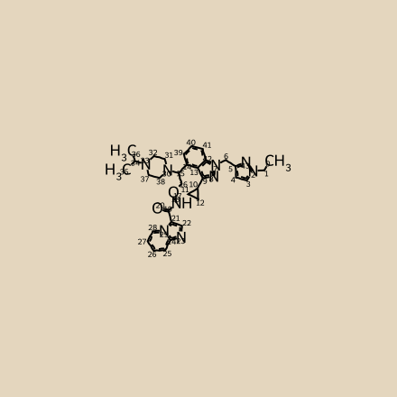 CCn1ccc(Cn2nc(C3CC3)c3c(C(CONC(=O)c4cnc5ccccn45)N4CCN(C(C)C)CC4)cccc32)n1